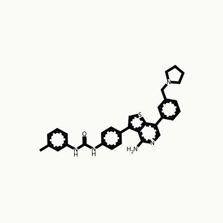 Cc1cccc(NC(=O)Nc2ccc(-c3csc4c(-c5cccc(CN6CCCC6)c5)cnc(N)c34)cc2)c1